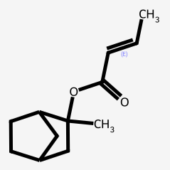 C/C=C/C(=O)OC1(C)CC2CCC1C2